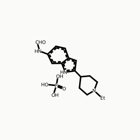 CCN1CCC(c2cc3ccc(NC=O)cc3[nH]2)CC1.O=P(O)(O)O